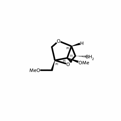 B[C@@H]1O[C@]2(COC)CO[C@H]1[C@@]2(C)OC